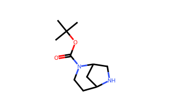 CC(C)(C)OC(=O)N1CCC2CC1CN2